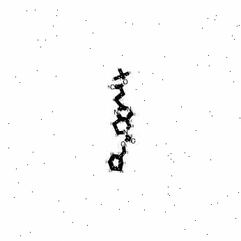 CC(C)(C)OC(=O)/C=C/c1ncc2c(n1)CCN(C(=O)OCc1ccccc1)C2